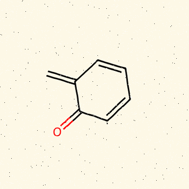 C=C1C=CC=[C]C1=O